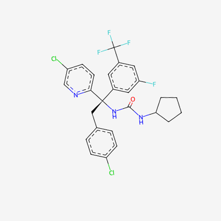 O=C(NC1CCCC1)N[C@@](Cc1ccc(Cl)cc1)(c1cc(F)cc(C(F)(F)F)c1)c1ccc(Cl)cn1